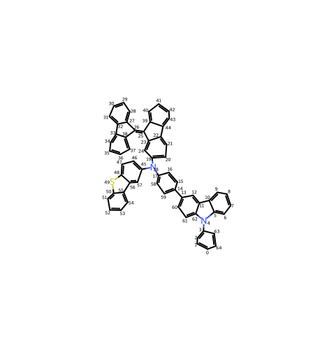 c1ccc(-n2c3ccccc3c3cc(-c4ccc(N(c5ccc6c(c5)C(=C5c7ccccc7-c7ccccc75)c5ccccc5-6)c5ccc6sc7ccccc7c6c5)cc4)ccc32)cc1